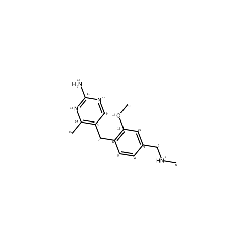 CNCc1ccc(Cc2cnc(N)nc2C)c(OC)c1